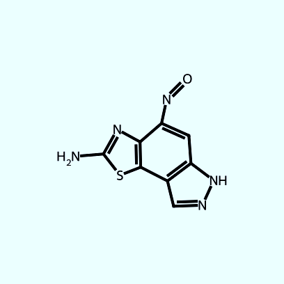 Nc1nc2c(N=O)cc3[nH]ncc3c2s1